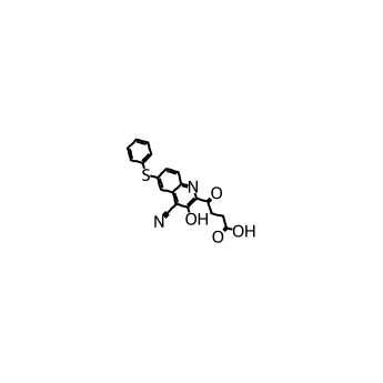 N#Cc1c(O)c(C(=O)CCC(=O)O)nc2ccc(Sc3ccccc3)cc12